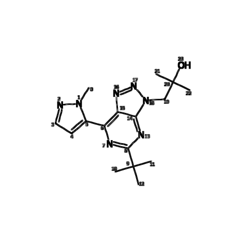 Cn1nccc1-c1nc(C(C)(C)C)nc2c1nnn2CC(C)(C)O